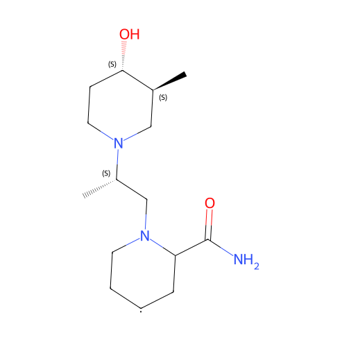 C[C@H]1CN([C@@H](C)CN2CC[CH]CC2C(N)=O)CC[C@@H]1O